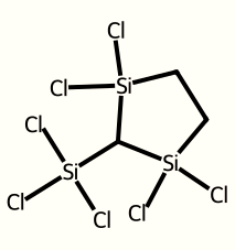 Cl[Si](Cl)(Cl)C1[Si](Cl)(Cl)CC[Si]1(Cl)Cl